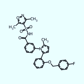 Cc1noc(C)c1S(=O)(=O)NC(=O)c1cccc(-n2c(C)ccc2-c2ccccc2OCc2ccc(F)cc2)c1